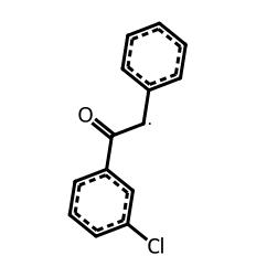 O=C([CH]c1ccccc1)c1cccc(Cl)c1